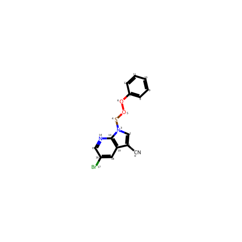 N#Cc1cn(SOOc2ccccc2)c2ncc(Br)cc12